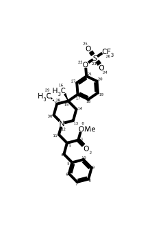 COC(=O)C(Cc1ccccc1)CN1CC[C@@](C)(c2cccc(OS(=O)(=O)C(F)(F)F)c2)[C@@H](C)C1